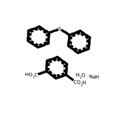 O.O=C(O)c1cccc(C(=O)O)c1.[NaH].c1ccc(Sc2ccccc2)cc1